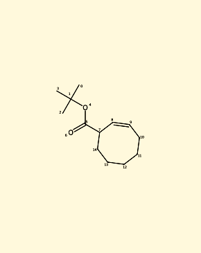 CC(C)(C)OC(=O)C1C=CCCCCC1